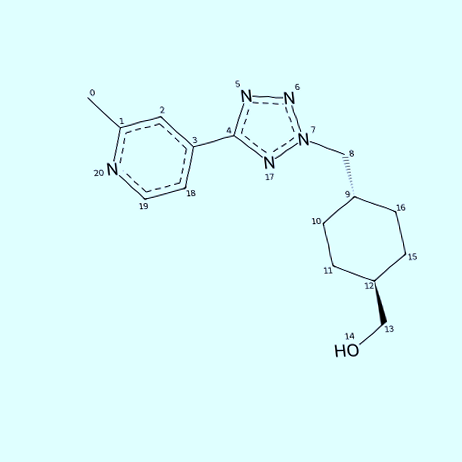 Cc1cc(-c2nnn(C[C@H]3CC[C@H](CO)CC3)n2)ccn1